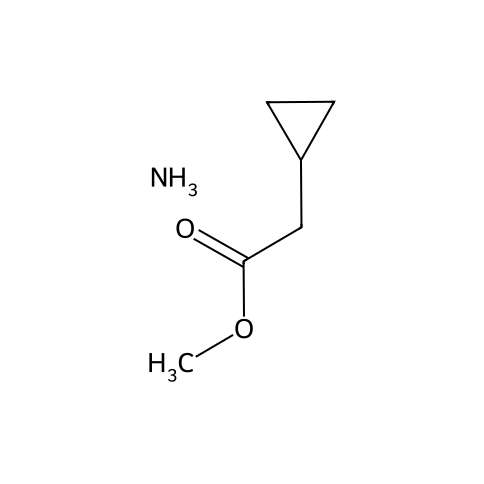 COC(=O)CC1CC1.N